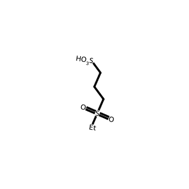 CCS(=O)(=O)CCCS(=O)(=O)O